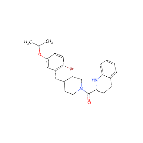 CC(C)Oc1ccc(Br)c(CC2CCN(C(=O)C3CCc4ccccc4N3)CC2)c1